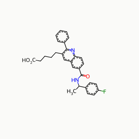 CC(NC(=O)c1ccc2nc(-c3ccccc3)c(CCCCC(=O)O)cc2c1)c1ccc(F)cc1